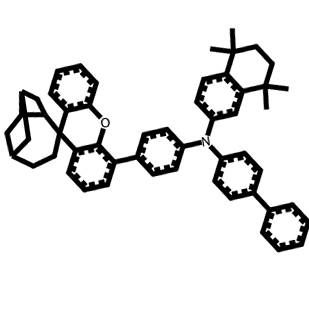 CC1(C)CCC(C)(C)c2cc(N(c3ccc(-c4ccccc4)cc3)c3ccc(-c4cccc5c4Oc4ccccc4C54CCC5CC6CC4C6C5)cc3)ccc21